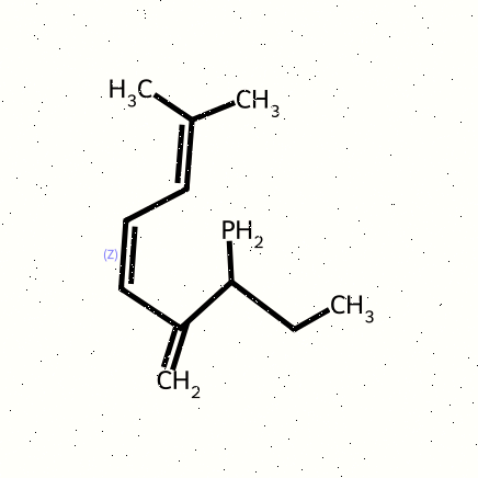 C=C(/C=C\C=C(C)C)C(P)CC